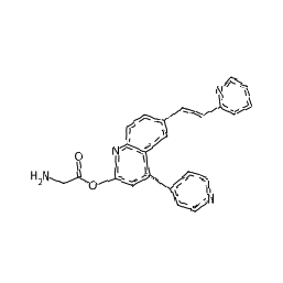 NCC(=O)Oc1cc(-c2ccncc2)c2cc(C=Cc3ccccn3)ccc2n1